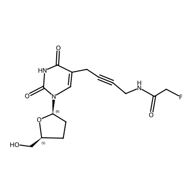 O=C(CF)NCC#CCc1cn([C@H]2CC[C@@H](CO)O2)c(=O)[nH]c1=O